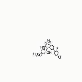 COC1CCC2(CC1)NC(=O)C(c1cc(-c3ccc(Cl)cc3F)ccc1C)=C2O